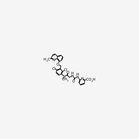 Cc1ccc2cccc(OCc3c(Cl)ccc(N(C)C(=O)CNC(=O)Nc4cccc(C(=O)O)n4)c3Cl)c2n1